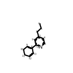 CCCc1ccnc(C2=CCCC=C2)c1